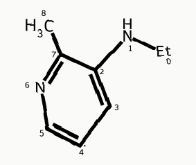 CCNc1c[c]cnc1C